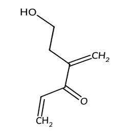 C=CC(=O)C(=C)CCO